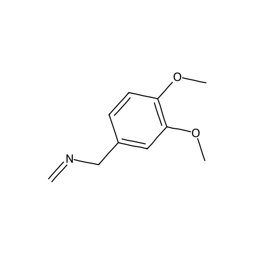 C=NCc1ccc(OC)c(OC)c1